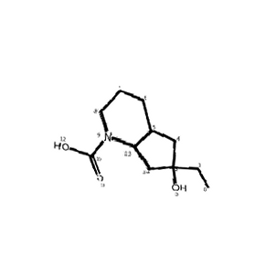 CCC1(O)CC2CCCN(C(=O)O)C2C1